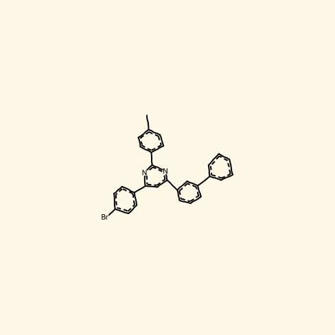 Cc1ccc(-c2nc(-c3ccc(Br)cc3)cc(-c3cccc(-c4ccccc4)c3)n2)cc1